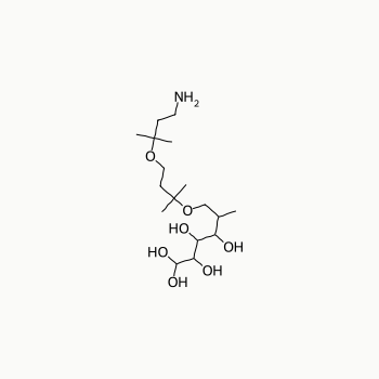 CC(COC(C)(C)CCOC(C)(C)CCN)C(O)C(O)C(O)C(O)O